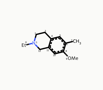 CCN1CCc2cc(C)c(OC)cc2C1